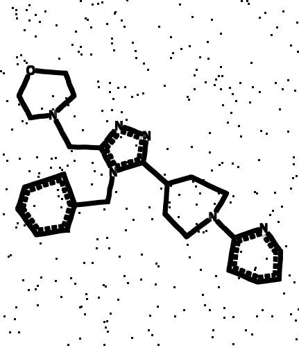 c1ccc(Cn2c(CN3CCOCC3)nnc2C2CCN(c3ccccn3)CC2)cc1